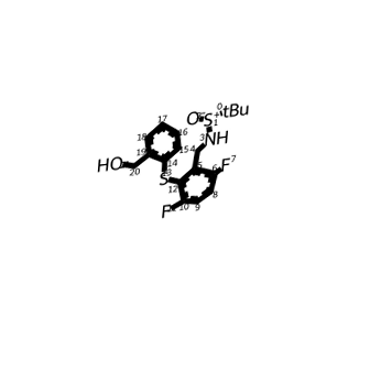 CC(C)(C)[S+]([O-])NCc1c(F)ccc(F)c1Sc1ccccc1CO